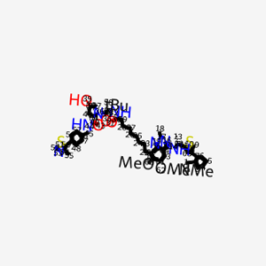 CNCc1ccccc1-c1csc([C@@H](C)Nc2nc(C)nc3c(CCCCCCCCC(=O)N[C@H](C(=O)N4C[C@H](O)C[C@H]4C(=O)NCc4ccc(-c5scnc5C)cc4)C(C)(C)C)c(OC)c(OC)cc23)c1